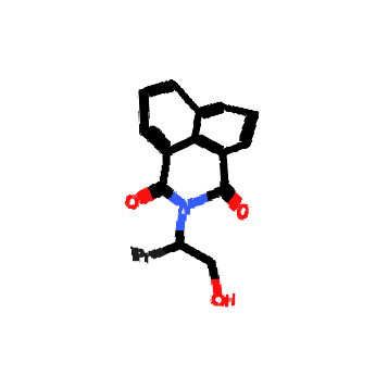 CC(C)C(CO)N1C(=O)c2cccc3cccc(c23)C1=O